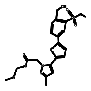 CCS(=O)(=O)c1cc(-c2ccc(-c3cc(C)nn3CC(=O)OCSC)s2)ccc1CO